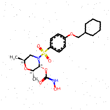 C[C@@H]1O[C@@H](C)CN(S(=O)(=O)c2ccc(OCC3CCCCC3)cc2)[C@@H]1OC(=O)NO